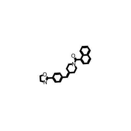 O=C(c1cccc2ccccc12)N1CCC(=Cc2ccc(C3=NCCO3)cc2)CC1